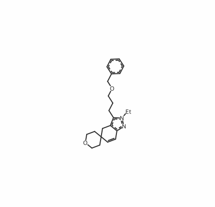 CCn1nc2c(c1CCCOCc1ccccc1)CC1(C=C2)CCOCC1